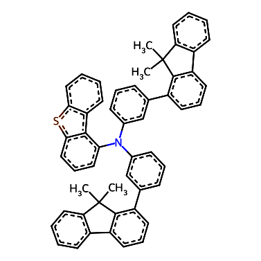 CC1(C)c2ccccc2-c2cccc(-c3cccc(N(c4cccc(-c5cccc6c5C(C)(C)c5ccccc5-6)c4)c4cccc5sc6ccccc6c45)c3)c21